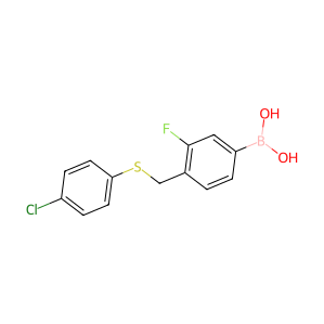 OB(O)c1ccc(CSc2ccc(Cl)cc2)c(F)c1